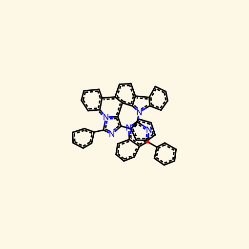 c1ccc(-c2nc(-n3c4ccccc4c4ccc5c6ccccc6n6c(-c7ccccc7)nc(-c7ccccc7)c6c5c43)nc3ccccc23)cc1